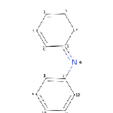 [C]1=CC=C[CH]C1=Nc1ccccc1